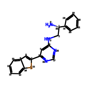 N[C@@H](CNc1cc(-c2cc3ccccc3s2)ncn1)c1ccccc1